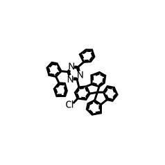 Clc1cc(-c2nc(-c3ccccc3)nc(-c3ccccc3-c3ccccc3)n2)c2c(c1)C1(c3ccccc3-c3ccccc31)c1ccccc1-2